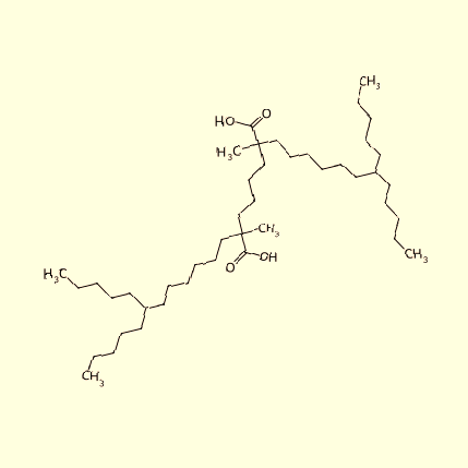 CCCCCC(CCCCC)CCCCCCC(C)(CCCCC(C)(CCCCCCC(CCCCC)CCCCC)C(=O)O)C(=O)O